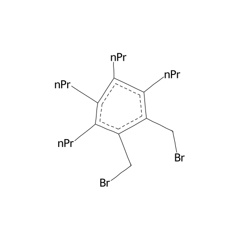 CCCc1c(CBr)c(CBr)c(CCC)c(CCC)c1CCC